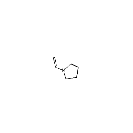 C=CN1CCCC1